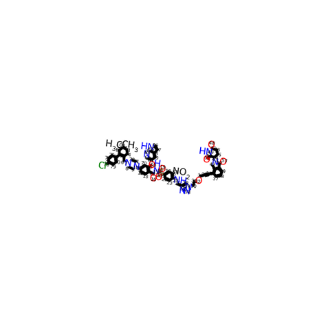 CC1(C)CCC(CN2CCN(c3ccc(C(=O)NS(=O)(=O)c4ccc(NCc5cn(CCOCC#Cc6cccc7c6CN(C6CCC(=O)NC6=O)C7=O)nn5)c([N+](=O)[O-])c4)c(Oc4cnc5[nH]ccc5c4)c3)CC2)=C(c2ccc(Cl)cc2)C1